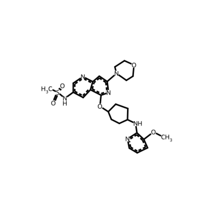 COc1cccnc1NC1CCC(Oc2nc(N3CCOCC3)cc3ncc(NS(C)(=O)=O)cc23)CC1